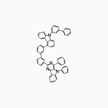 c1ccc(-c2cccc(-n3c4ccccc4c4c(-c5cccc(-c6cccc(-c7nc(-c8ccccc8)c8c(n7)c7ccccc7n8-c7ccccc7)c6)c5)cccc43)c2)cc1